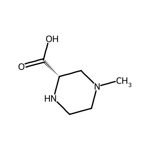 CN1CCN[C@H](C(=O)O)C1